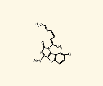 C/C=N/C=C\C=C(/C)n1c(=O)nc(NC)c2oc3ccc(Cl)cc3c21